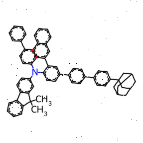 CC1(C)c2ccccc2-c2ccc(N(c3ccc(-c4ccccc4)cc3)c3ccc(-c4ccc(-c5ccc(C67CC8CC(CC(C8)C6)C7)cc5)cc4)cc3-c3ccc4ccccc4c3)cc21